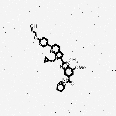 COc1cc(C(=O)N2CC3CCC2C3N)cc2nc(-c3cc4ccc(-c5ccc(OCCO)cc5)nc4n3CC3CC3)n(C)c12